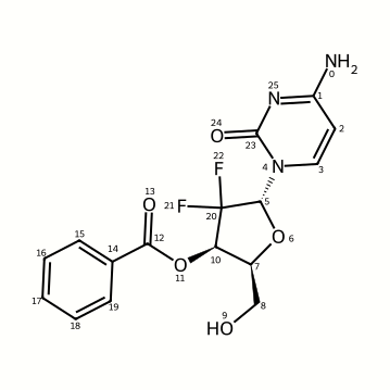 Nc1ccn([C@@H]2O[C@@H](CO)[C@@H](OC(=O)c3ccccc3)C2(F)F)c(=O)n1